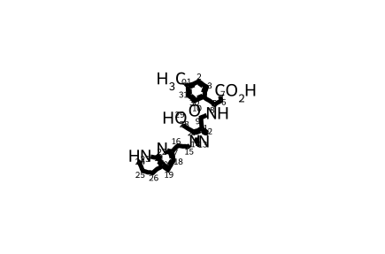 Cc1ccc(C(CC(=O)O)NC(=O)c2cnn(CCc3ccc4c(n3)NCCC4)c2CO)cc1